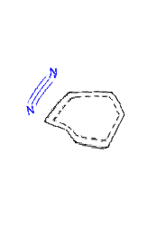 N#N.c1ccccc1